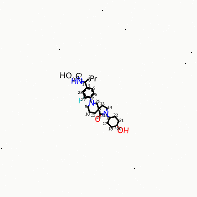 CC(C)C(NC(=O)O)c1ccc(N2CCCC3(CCN(C4CCC(O)CC4)C3=O)C2)c(F)c1